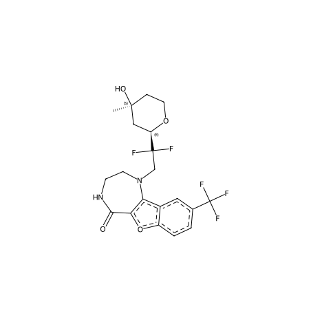 C[C@]1(O)CCO[C@@H](C(F)(F)CN2CCNC(=O)c3oc4ccc(C(F)(F)F)cc4c32)C1